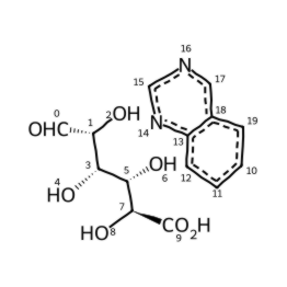 O=C[C@H](O)[C@@H](O)[C@H](O)[C@H](O)C(=O)O.c1ccc2ncncc2c1